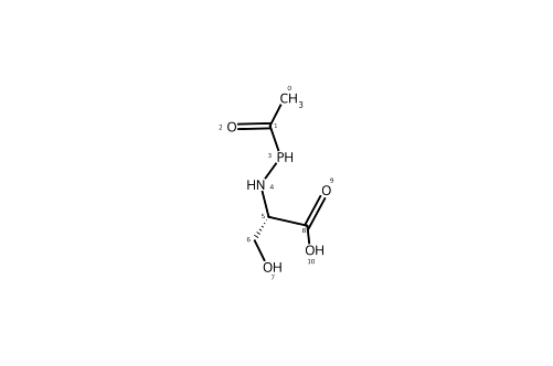 CC(=O)PN[C@@H](CO)C(=O)O